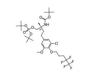 COc1cc(CC[C@](C)(COP(=O)(OC(C)(C)C)OC(C)(C)C)NC(=O)OC(C)(C)C)cc(Cl)c1OCCCC(F)(F)C(F)(F)F